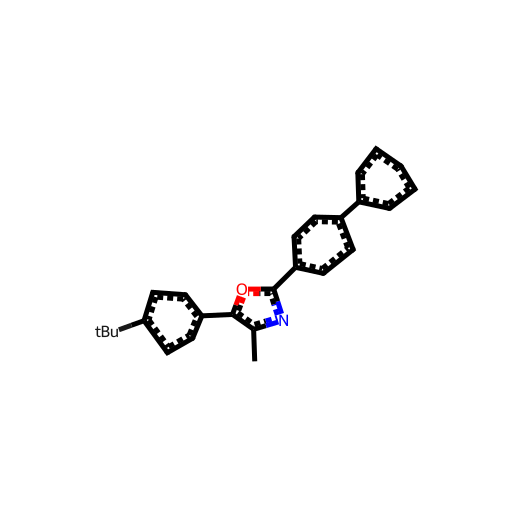 Cc1nc(-c2ccc(-c3ccccc3)cc2)oc1-c1ccc(C(C)(C)C)cc1